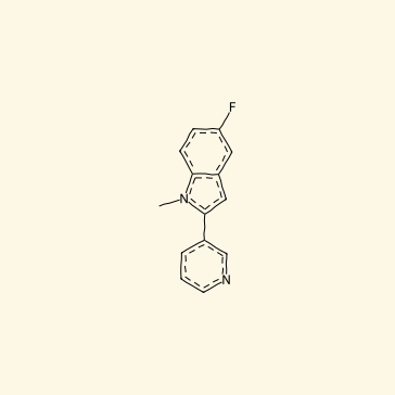 Cn1c(-c2cccnc2)cc2cc(F)ccc21